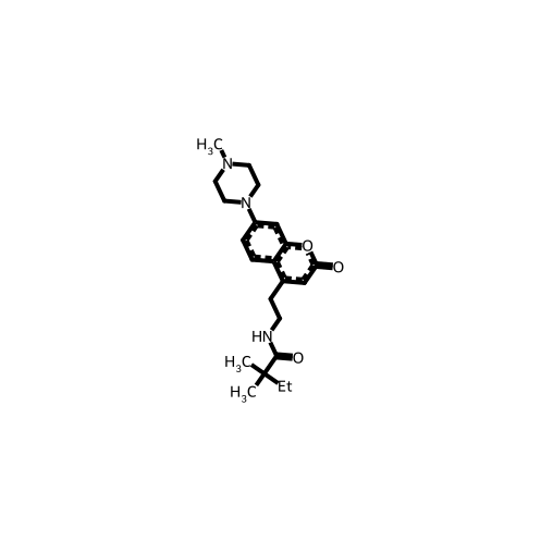 CCC(C)(C)C(=O)NCCc1cc(=O)oc2cc(N3CCN(C)CC3)ccc12